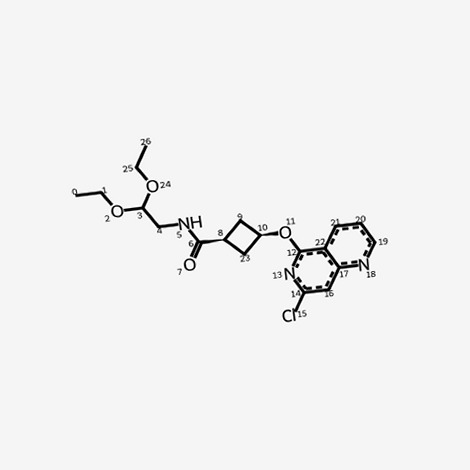 CCOC(CNC(=O)[C@H]1C[C@@H](Oc2nc(Cl)cc3ncccc23)C1)OCC